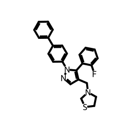 Fc1ccccc1-c1c(CN2CCSC2)cnn1-c1ccc(-c2ccccc2)cc1